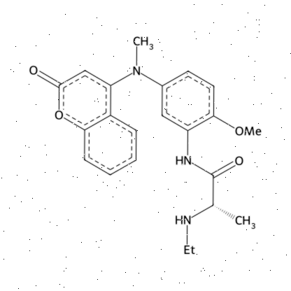 CCN[C@@H](C)C(=O)Nc1cc(N(C)c2cc(=O)oc3ccccc23)ccc1OC